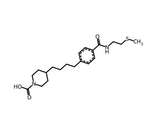 CSCCNC(=O)c1ccc(CCCCC2CCN(C(=O)O)CC2)cc1